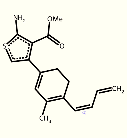 C=C/C=C\C1=C(C)C=C(c2csc(N)c2C(=O)OC)CC1